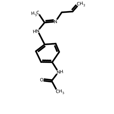 C=CCN=C(C)Nc1ccc(NC(C)=O)cc1